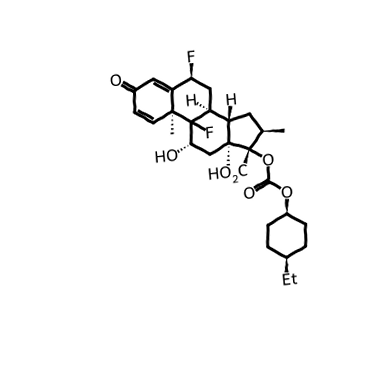 CC[C@H]1CC[C@@H](OC(=O)O[C@@]2(C(=O)O)[C@H](C)C[C@H]3[C@@H]4C[C@H](F)C5=CC(=O)C=C[C@]5(C)C4(F)[C@@H](O)C[C@@]32C)CC1